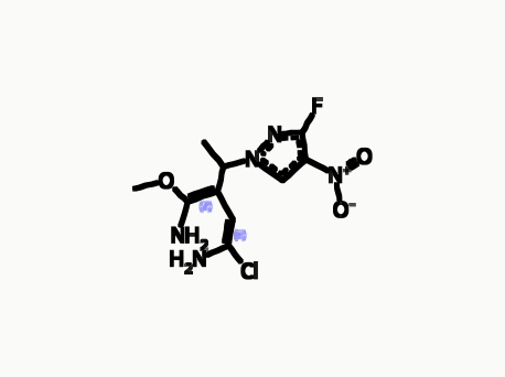 CO/C(N)=C(/C=C(\N)Cl)C(C)n1cc([N+](=O)[O-])c(F)n1